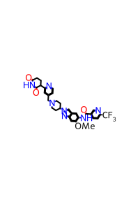 COc1cc2nn(C3CCN(Cc4ccnc(C5CCC(=O)NC5=O)c4)CC3)cc2cc1NC(=O)c1ccc(C(F)(F)F)nc1